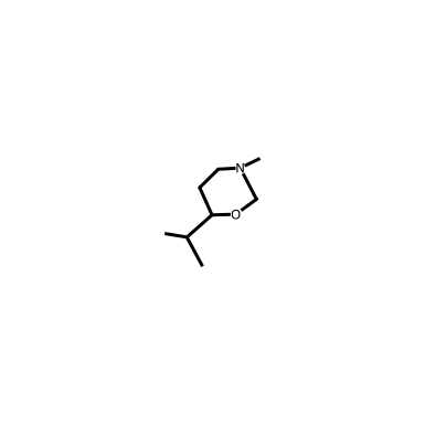 CC(C)C1CCN(C)CO1